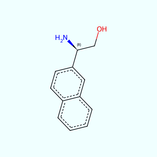 N[C@@H](CO)c1ccc2ccccc2c1